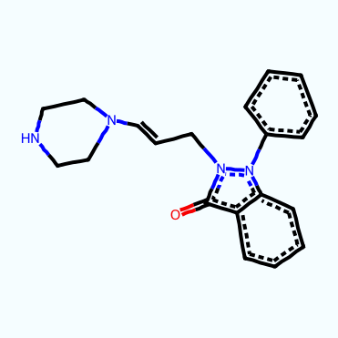 O=c1c2ccccc2n(-c2ccccc2)n1CC=CN1CCNCC1